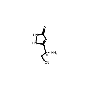 N#CC[C@@H](N)c1nc(=S)[nH][nH]1